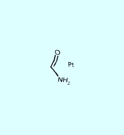 NC=O.[Pt]